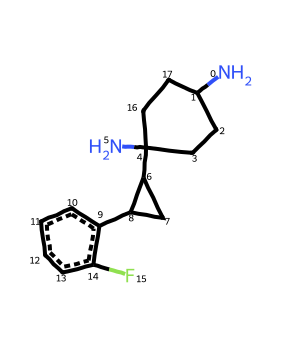 NC1CCC(N)(C2CC2c2ccccc2F)CC1